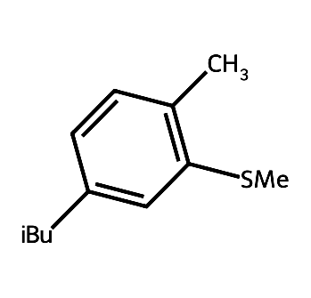 CCC(C)c1ccc(C)c(SC)c1